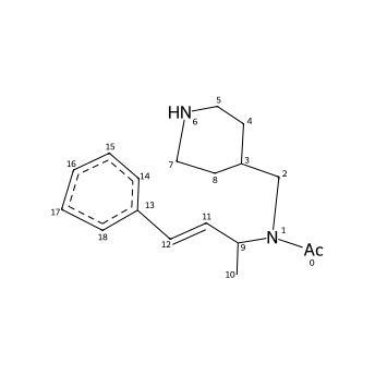 CC(=O)N(CC1CCNCC1)C(C)/C=C/c1ccccc1